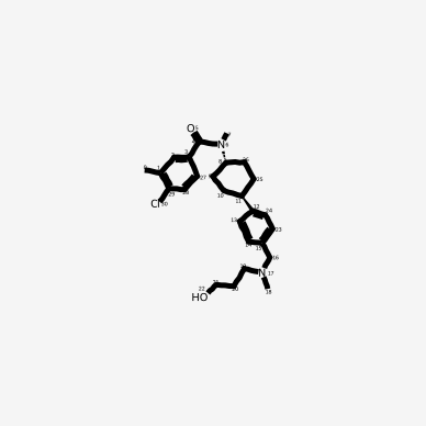 Cc1cc(C(=O)N(C)[C@H]2CC[C@H](c3ccc(CN(C)CCCO)cc3)CC2)ccc1Cl